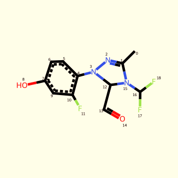 CC1=NN(c2ccc(O)cc2F)C(C=O)N1C(F)F